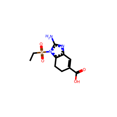 CCS(=O)(=O)n1c(N)nc2c1CCC(C(=O)O)=C2